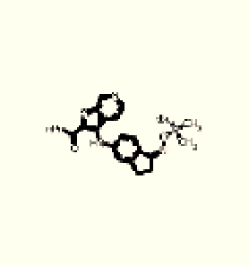 CCCC(=O)c1sc2cnccc2c1Nc1ccc2c(c1)CC/C2=N/O[Si](C)(C)C(C)(C)C